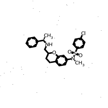 C[C@@H](NCC1CCc2ccc(N(C)S(=O)(=O)c3ccc(Cl)cc3)cc2O1)c1ccccc1